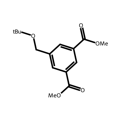 COC(=O)c1cc(COC(C)(C)C)cc(C(=O)OC)c1